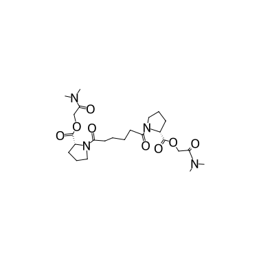 CN(C)C(=O)COC(=O)[C@H]1CCCN1C(=O)CCCCC(=O)N1CCC[C@@H]1C(=O)OCC(=O)N(C)C